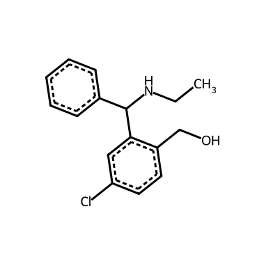 CCNC(c1ccccc1)c1cc(Cl)ccc1CO